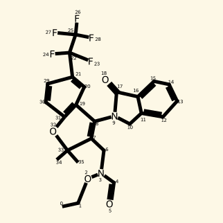 CCON(C=O)CC1=C(N2Cc3ccccc3C2=O)c2cc(C(F)(F)C(F)(F)F)ccc2OC1(C)C